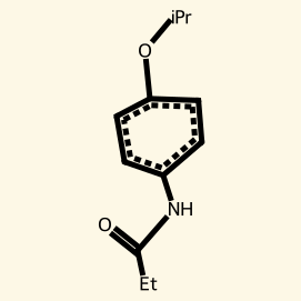 CCC(=O)Nc1ccc(OC(C)C)cc1